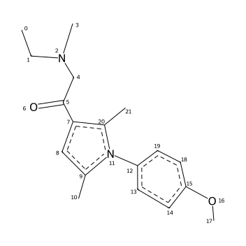 CCN(C)CC(=O)c1cc(C)n(-c2ccc(OC)cc2)c1C